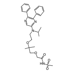 CC(C)N(CCOC(C)(C)COCC(=O)NS(C)(=O)=O)c1cnc(-c2ccccc2)c(-c2ccccc2)n1